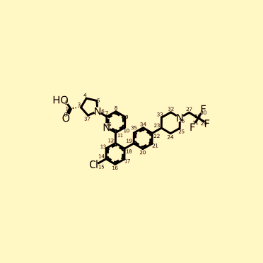 O=C(O)[C@@H]1CCN(c2cccc(-c3cc(Cl)ccc3-c3ccc(C4CCN(CC(F)(F)F)CC4)cc3)n2)C1